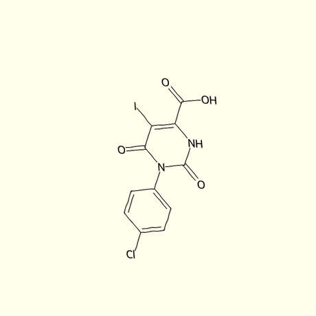 O=C(O)c1[nH]c(=O)n(-c2ccc(Cl)cc2)c(=O)c1I